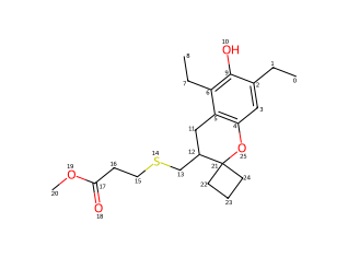 CCc1cc2c(c(CC)c1O)CC(CSCCC(=O)OC)C1(CCC1)O2